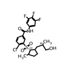 CC1CCC(C[C@@H](C)CO)[C@H]1S(=O)(=O)c1cc(C(=O)Nc2cc(F)c(F)c(F)c2)ccc1Cl